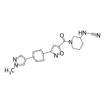 Cn1cc(-c2ccc(-c3cc(C(=O)N4CCCC(NC#N)C4)on3)cc2)cn1